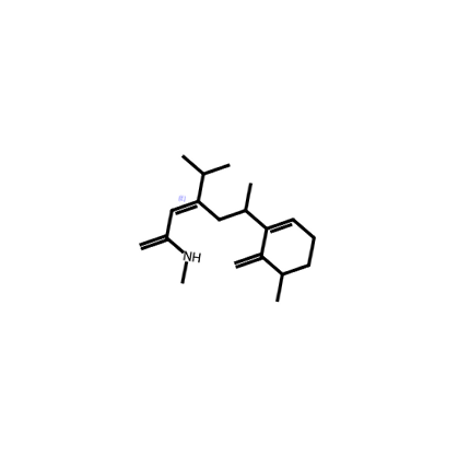 C=C(/C=C(\CC(C)C1=CCCC(C)C1=C)C(C)C)NC